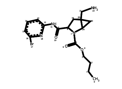 CCCCOC(=O)N1C(C(=O)Nc2cccc(Br)n2)CC2(CN)CC12